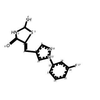 O=C1NC(S)S/C1=C\c1cnn(-c2cccc(F)c2)c1